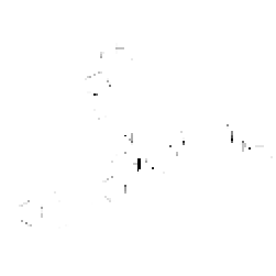 COc1ccc(OCCN(C(=O)C2=C(c3ccc(CCCOc4cc(F)ccc4Br)cc3)CC3CN(C(=O)CCCC(N)=O)CC2N3)C2CC2)cc1